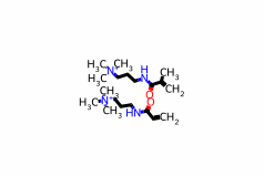 C=C(C)C(=O)NCCC[N+](C)(C)C.C=CC(=O)NCCC[N+](C)(C)C